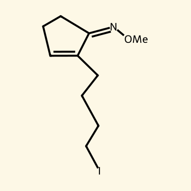 CON=C1CCC=C1CCCCI